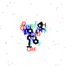 Cn1nc(NS(C)(=O)=O)c2c(Cl)ccc(-c3ccc(C#CC(C)(C)O)nc3[C@H](Cc3cc(F)cc(F)c3)NC(=O)Cn3nc(C(F)F)c4c3C(F)(F)C3C[C@H]43)c21